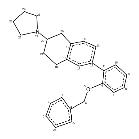 c1ccc(COc2ccccc2-c2ccc3c(c2)CCC(N2CCCC2)C3)cc1